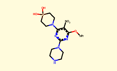 CCCOc1nc(N2CCNCC2)nc(N2CCS(O)(O)CC2)c1[N+](=O)[O-]